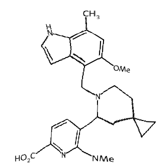 CNc1nc(C(=O)O)ccc1C1CC2(CCN1Cc1c(OC)cc(C)c3[nH]ccc13)CC2